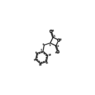 O=C1OC(=O)C1Cc1ccccc1